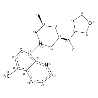 C[C@H]1C[C@@H](N(C)C2CCOC2)CN(c2ccc(C#N)c3nccnc23)C1